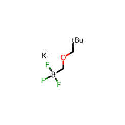 CC(C)(C)COC[B-](F)(F)F.[K+]